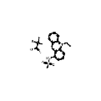 CC[n+]1c2ccccc2nc2c(NS(C)(=O)=O)cccc21.O=C([O-])C(F)(F)F